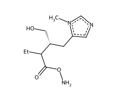 CCC(C(=O)ON)[C@H](CO)Cc1cncn1C